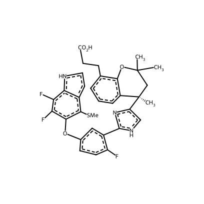 CSc1c(Oc2ccc(F)c(-c3nc([C@]4(C)CC(C)(C)Oc5c(CCC(=O)O)cccc54)c[nH]3)c2)c(F)c(F)c2[nH]ccc12